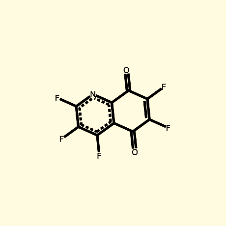 O=C1C(F)=C(F)C(=O)c2c1nc(F)c(F)c2F